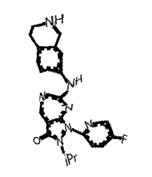 CC(C)n1c(=O)c2cnc(Nc3ccc4c(c3)CNCC4)nc2n1-c1ccc(F)cn1